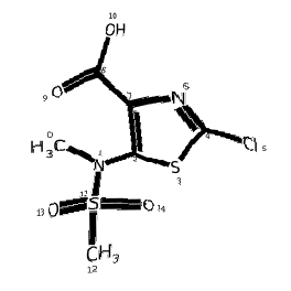 CN(c1sc(Cl)nc1C(=O)O)S(C)(=O)=O